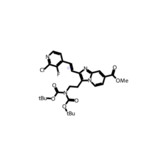 COC(=O)c1ccn2c(CCN(C(=O)OC(C)(C)C)C(=O)OC(C)(C)C)c(/C=C/c3ccnc(Cl)c3F)nc2c1